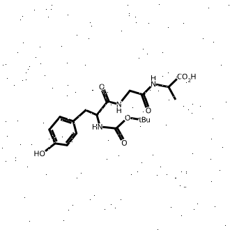 CC(NC(=O)CNC(=O)C(Cc1ccc(O)cc1)NC(=O)OC(C)(C)C)C(=O)O